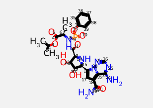 CC(C)OC(=O)[C@H](C)NP(=O)(OC[C@H]1N[C@@H](c2cc(C(N)=O)c3c(N)ncnn23)[C@H](O)[C@@H]1O)Oc1ccccc1